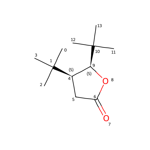 CC(C)(C)[C@@H]1CC(=O)O[C@@H]1C(C)(C)C